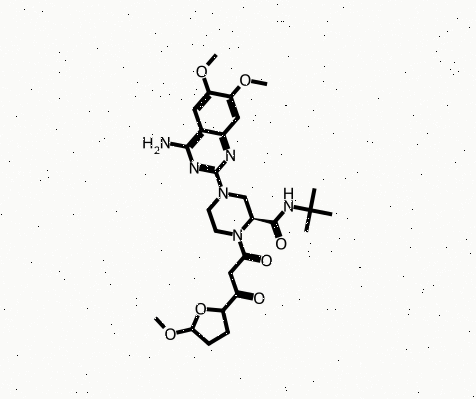 COc1cc2nc(N3CCN(C(=O)CC(=O)C4CCC(OC)O4)[C@H](C(=O)NC(C)(C)C)C3)nc(N)c2cc1OC